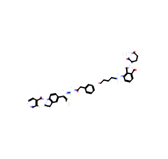 Cc1cnccc1C(=O)N1CCc2cc(-c3nc(NC(=O)Cc4cccc(OCCCCCNc5cccc6c5C(=O)N(C5CCC(=O)NC5=O)C6=O)c4)sc3C)ccc21